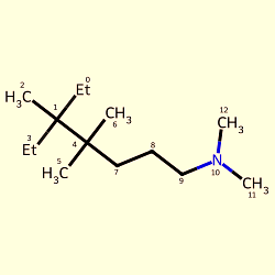 CCC(C)(CC)C(C)(C)CCCN(C)C